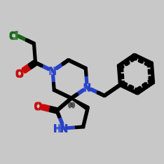 O=C(CCl)N1CCN(Cc2ccccc2)[C@@]2(CCNC2=O)C1